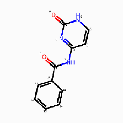 O=C(Nc1[c]c[nH]c(=O)n1)c1ccccc1